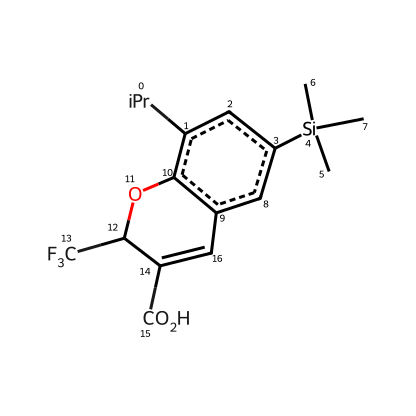 CC(C)c1cc([Si](C)(C)C)cc2c1OC(C(F)(F)F)C(C(=O)O)=C2